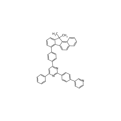 CC1(C)c2cccc(-c3ccc(-c4cc(-c5ccccc5)nc(-c5ccc(-c6cccnc6)cc5)n4)cc3)c2-c2ccc3ccccc3c21